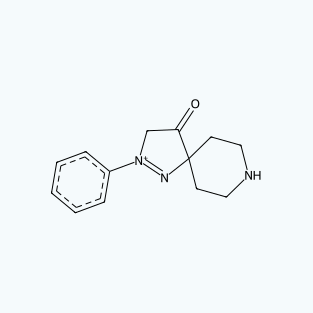 O=C1C[N+](c2ccccc2)=NC12CCNCC2